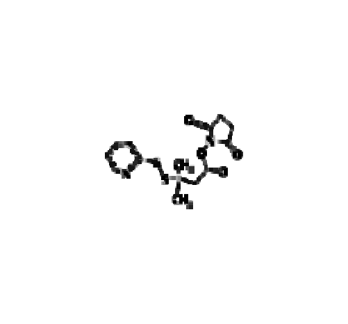 CC(C)(CC(=O)ON1C(=O)CCC1=O)SSc1ccccn1